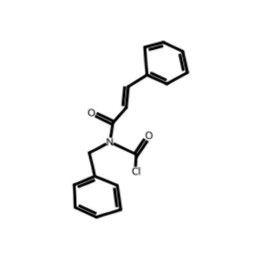 O=C(Cl)N(Cc1ccccc1)C(=O)C=Cc1ccccc1